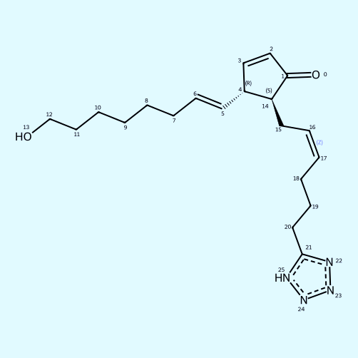 O=C1C=C[C@@H](C=CCCCCCCO)[C@@H]1C/C=C\CCCc1nnn[nH]1